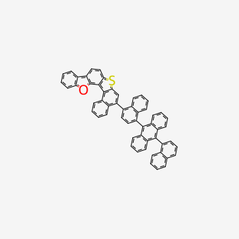 c1ccc2c(-c3c4ccccc4c(-c4ccc(-c5cc6sc7ccc8c9ccccc9oc8c7c6c6ccccc56)c5ccccc45)c4ccccc34)cccc2c1